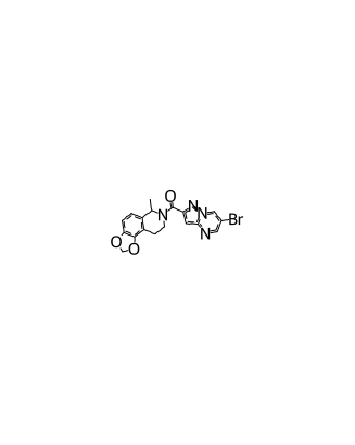 CC1c2ccc3c(c2CCN1C(=O)c1cc2ncc(Br)cn2n1)OCO3